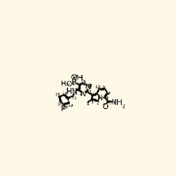 Cc1cn2c(C(N)=O)cccc2c1-c1ncc(B(O)O)c(NCc2cccc(F)c2)n1